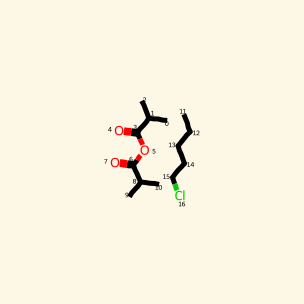 CC(C)C(=O)OC(=O)C(C)C.CCCCCCl